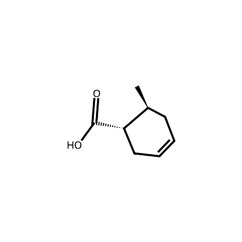 C[C@H]1CC=CC[C@@H]1C(=O)O